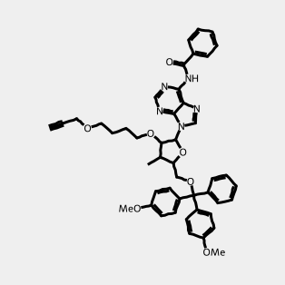 C#CCOCCCCOC1C(C)C(COC(c2ccccc2)(c2ccc(OC)cc2)c2ccc(OC)cc2)OC1n1cnc2c(NC(=O)c3ccccc3)ncnc21